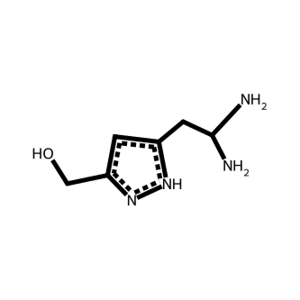 NC(N)Cc1cc(CO)n[nH]1